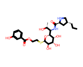 CCC[C@H]1CN[C@H](C(=O)N[C@@H]([C@H]2O[C@H](SCCOC(=O)c3cccc(O)c3)[C@H](O)[C@@H](O)[C@H]2O)[C@@H](C)O)C1